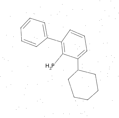 Pc1c(-c2ccccc2)cccc1C1CCCCC1